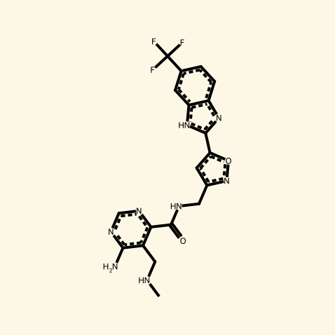 CNCc1c(N)ncnc1C(=O)NCc1cc(-c2nc3ccc(C(F)(F)F)cc3[nH]2)on1